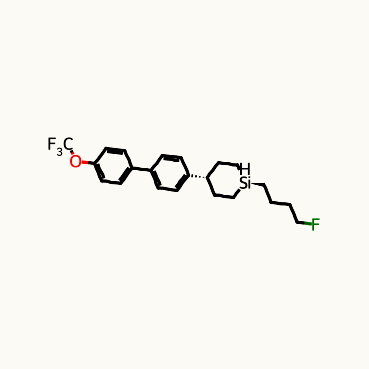 FCCCC[Si@H]1CC[C@H](c2ccc(-c3ccc(OC(F)(F)F)cc3)cc2)CC1